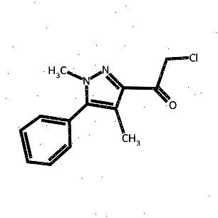 Cc1c(C(=O)CCl)nn(C)c1-c1ccccc1